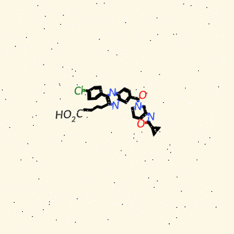 O=C(O)CCCCc1nc2cc(C(=O)N3CCc4oc(C5CC5)nc4C3)ccc2nc1-c1ccc(Cl)cc1